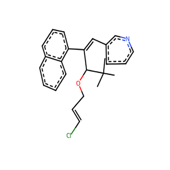 CC(C)(C)C(OCC=CCl)C(=Cc1cccnc1)c1cccc2ccccc12